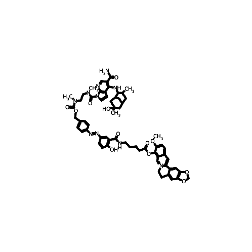 COc1ccc2cc3[n+](cc2c1OC(=O)CCCCNC(=O)c1cc(/N=N/c2ccc(COC(=O)N(C)CCN(C)C(=O)n4ccc5c(NC6C(C)CC7CC6CC(C)(O)C7)c(C(N)=O)cnc54)cc2)ccc1O)CCc1cc2c(cc1-3)OCO2